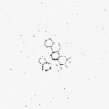 CC1C(C)(C)Cc2c(ccc3c2CCC2CC=CC=C32)C1(C)C.c1ccc2c(c1)CCC2